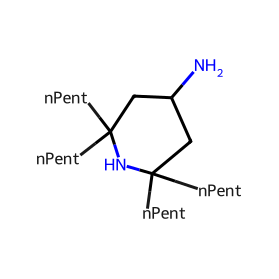 CCCCCC1(CCCCC)CC(N)CC(CCCCC)(CCCCC)N1